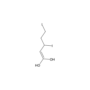 OC(O)=CC(I)CCI